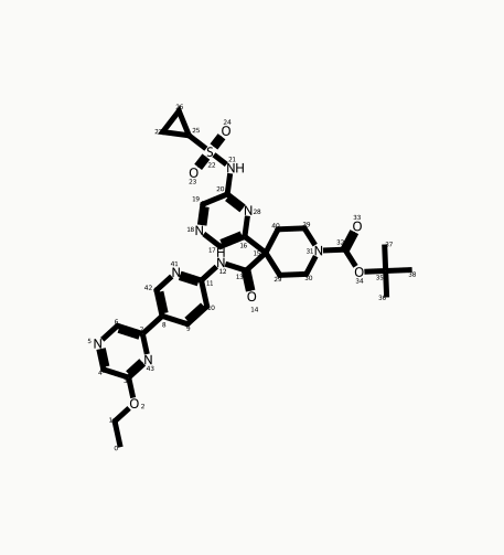 CCOc1cncc(-c2ccc(NC(=O)C3(c4cncc(NS(=O)(=O)C5CC5)n4)CCN(C(=O)OC(C)(C)C)CC3)nc2)n1